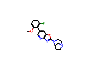 COc1cccc(F)c1-c1cnc2nc(N3CC[N@@]4CCC3C4)oc2c1